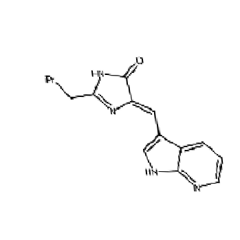 CC(C)CC1=NC(=Cc2c[nH]c3ncccc23)C(=O)N1